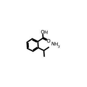 CC(C)c1ccccc1C(=O)O.N